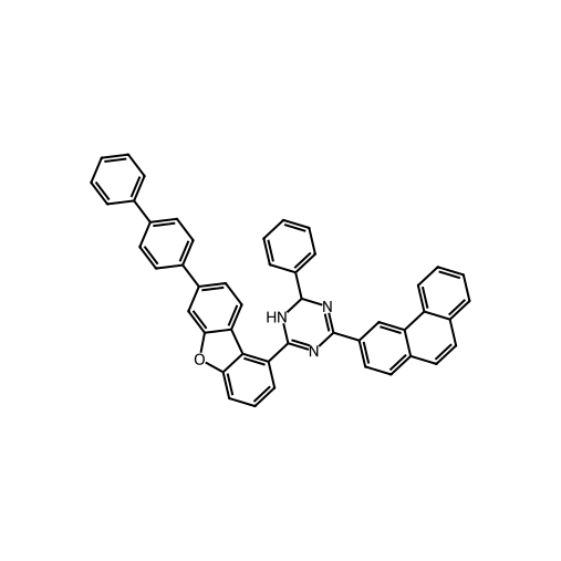 c1ccc(-c2ccc(-c3ccc4c(c3)oc3cccc(C5=NC(c6ccc7ccc8ccccc8c7c6)=NC(c6ccccc6)N5)c34)cc2)cc1